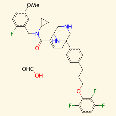 COc1ccc(F)c(CN(C(=O)C2=CCC3(c4ccc(CCCOc5c(F)ccc(F)c5F)cc4)CNCC2N3)C2CC2)c1.O=CO